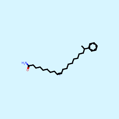 CC(CCCCCCCC/C=C\CCCCCCCC(N)=O)c1ccccc1